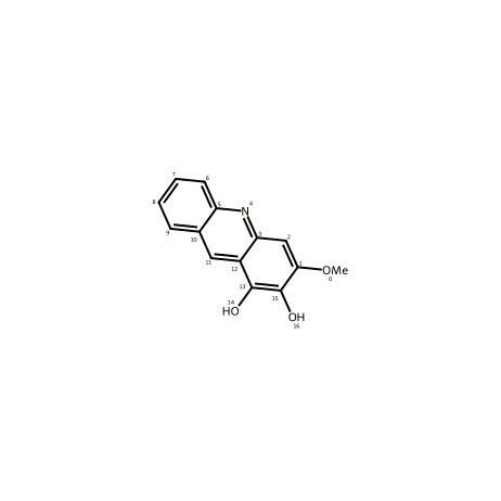 COc1cc2nc3ccccc3cc2c(O)c1O